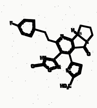 O=C(O)c1ccc(-c2c3c(nc(CCc4ccc(F)cc4)c2-c2noc(=O)[nH]2)[C@@H]2CCCN2C3=O)s1